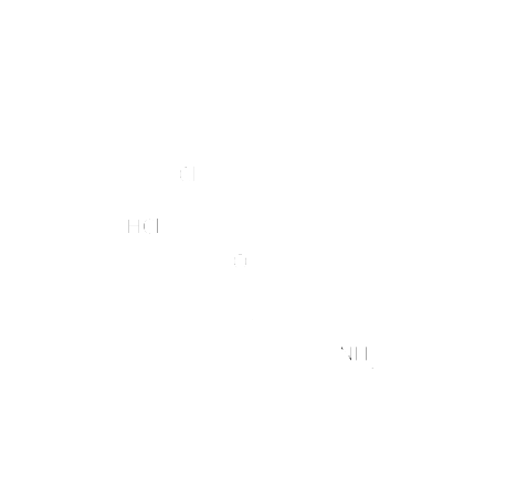 Cl.NCC1(OCc2ccccc2Cl)CCCCC1